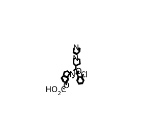 C[N+](CCC1CCN(c2ccncc2)CC1)(C(=O)c1ccccc1Cl)[C@@H]1CCc2ccc(OC(=O)O)cc21